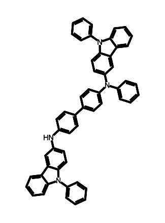 c1ccc(N(c2ccc(-c3ccc(Nc4ccc5c(c4)c4ccccc4n5-c4ccccc4)cc3)cc2)c2ccc3c(c2)c2ccccc2n3-c2ccccc2)cc1